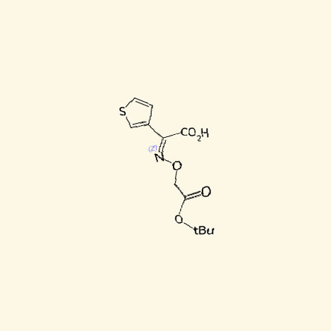 CC(C)(C)OC(=O)CO/N=C(\C(=O)O)c1ccsc1